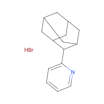 Br.c1ccc(C2C3CC4CC(C3)CC2C4)nc1